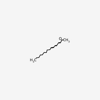 CCCCCCCCC/C=C/C=C/C=C/C(C)=O